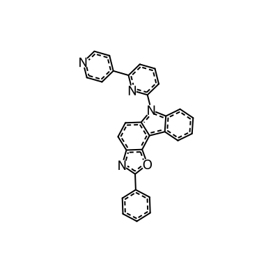 c1ccc(-c2nc3ccc4c(c5ccccc5n4-c4cccc(-c5ccncc5)n4)c3o2)cc1